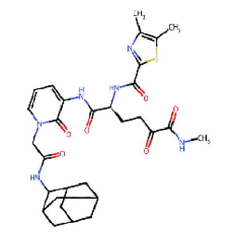 CNC(=O)C(=O)CC[C@H](NC(=O)c1nc(C)c(C)s1)C(=O)Nc1cccn(CC(=O)NC2C3CC4CC(C3)CC2C4)c1=O